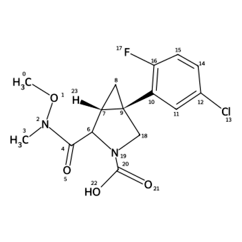 CON(C)C(=O)C1[C@@H]2C[C@]2(c2cc(Cl)ccc2F)CN1C(=O)O